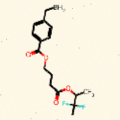 BCc1ccc(C(=O)OCCCC(=O)OC(C(C)(F)F)C(F)(F)F)cc1